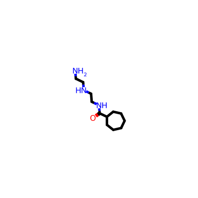 NCCNCCNC(=O)C1CCCCCC1